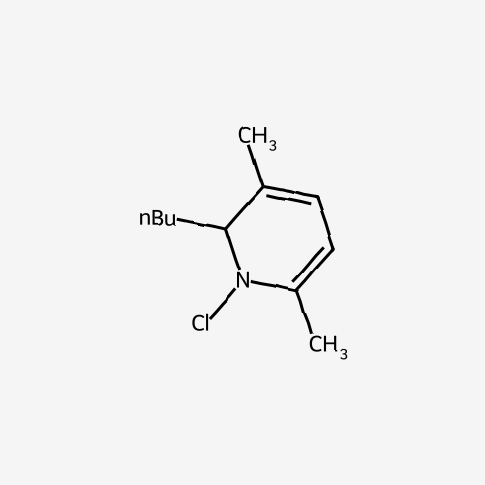 CCCCC1C(C)=CC=C(C)N1Cl